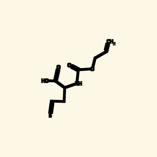 C=CCOC(=O)NC(CC=S)C(=O)O